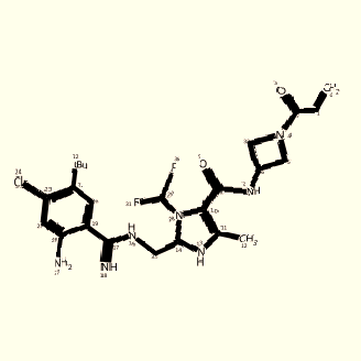 C=CC(=O)N1CC(NC(=O)C2=C(C)NC(CNC(=N)c3cc(C(C)(C)C)c(Cl)cc3N)N2C(F)F)C1